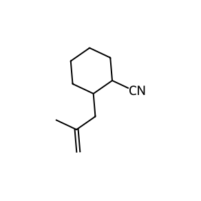 C=C(C)CC1CCCCC1C#N